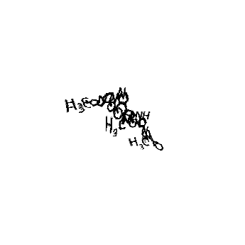 C[C@@H]1CN(c2ccc(Nc3cc(-c4ccnc(-n5ccn6c7c(cc6c5=O)CC(C)(C)C7)c4CO)cn(C)c3=O)nc2)CCN1C1COC1